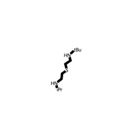 CC(C)NCCSCCNC(C)(C)C